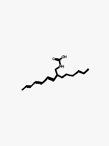 CC=CC=CC=CC(CCCCCC)CNC(=O)O